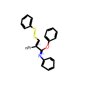 CCCC(=C\SSc1ccccc1)/C(=N/c1ccccc1)Oc1ccccc1